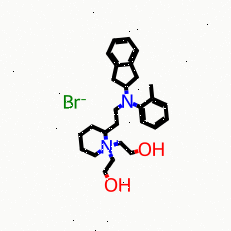 Cc1ccccc1N(CCC1CCCC[N+]1(CCO)CCO)C1Cc2ccccc2C1.[Br-]